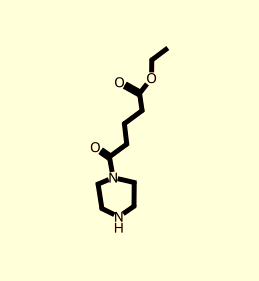 CCOC(=O)CCCC(=O)N1CCNCC1